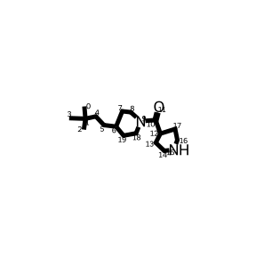 CC(C)(C)CCC1CCN(C(=O)C2CCNCC2)CC1